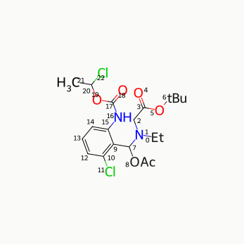 CCN(CC(=O)OC(C)(C)C)C(OC(C)=O)c1c(Cl)cccc1NC(=O)OC(C)Cl